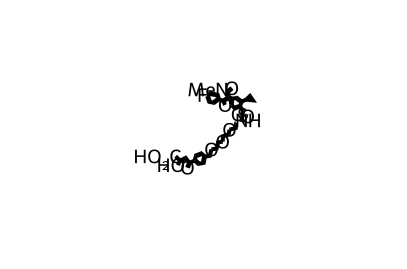 CNC(=O)c1c(-c2ccc(F)cc2)oc2cc(CS(=O)(=O)NCCOCCOCCOCc3ccc(C(=O)/C=C(\O)C(=O)O)cc3)c(C3CC3)cc12